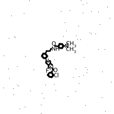 CN(C)c1ccc(C(=O)NCCCc2cccc(N3CC4CN(C(=O)c5c(F)cccc5Cl)CC4C3)c2)cc1